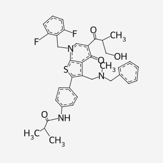 CC(C)C(=O)Nc1ccc(-c2sc3c(c2CN(C)Cc2ccccc2)c(=O)c(C(=O)C(C)CO)cn3Cc2c(F)cccc2F)cc1